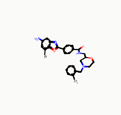 CC(C)c1cc(N)cc2nc(-c3ccc(C(=O)NCC4CN(Cc5ccccc5C(F)(F)F)CCO4)cc3)oc12